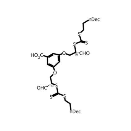 CCCCCCCCCCCCSC(=S)S[C@H](C=O)COc1cc(OC[C@@H](C=O)SC(=S)SCCCCCCCCCCCC)cc(C(=O)O)c1